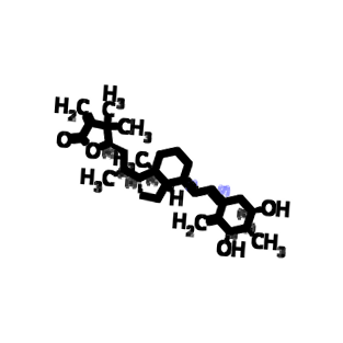 C=C1/C(=C\C=C2/CCC[C@]3(C)[C@@H]([C@H](C)C[C@H]4OC(=O)C(=C)C4(C)C)CC[C@@H]23)C[C@@H](O)[C@H](C)[C@@H]1O